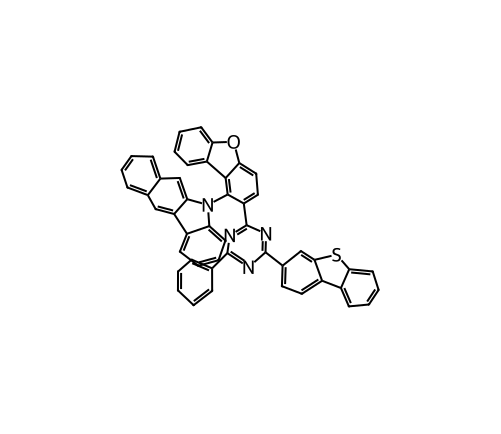 c1ccc(-c2nc(-c3ccc4c(c3)sc3ccccc34)nc(-c3ccc4oc5ccccc5c4c3-n3c4ccccc4c4cc5ccccc5cc43)n2)cc1